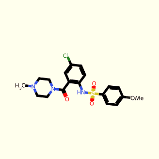 COc1ccc(S(=O)(=O)Nc2ccc(Cl)cc2C(=O)N2CCN(C)CC2)cc1